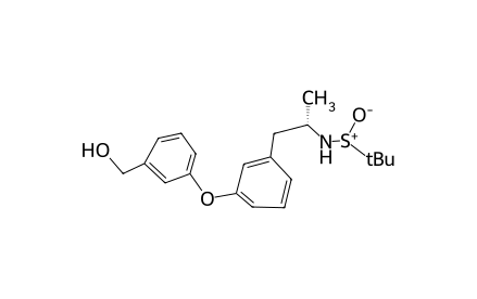 C[C@@H](Cc1cccc(Oc2cccc(CO)c2)c1)N[S+]([O-])C(C)(C)C